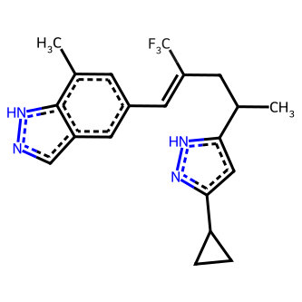 Cc1cc(/C=C(/CC(C)c2cc(C3CC3)n[nH]2)C(F)(F)F)cc2cn[nH]c12